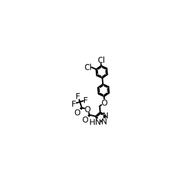 O=C(OC(=O)C(F)(F)F)c1[nH]nnc1COc1ccc(-c2ccc(Cl)c(Cl)c2)cc1